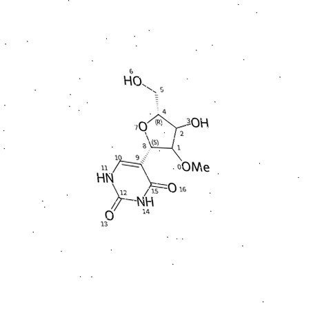 COC1C(O)[C@@H](CO)O[C@H]1c1c[nH]c(=O)[nH]c1=O